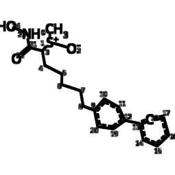 C[S+]([O-])C(CCCCCc1ccc(-c2ccccc2)cc1)C(=O)NO